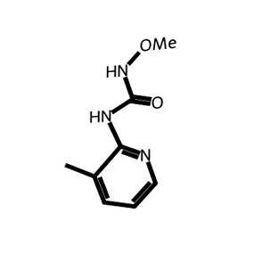 CONC(=O)Nc1ncccc1C